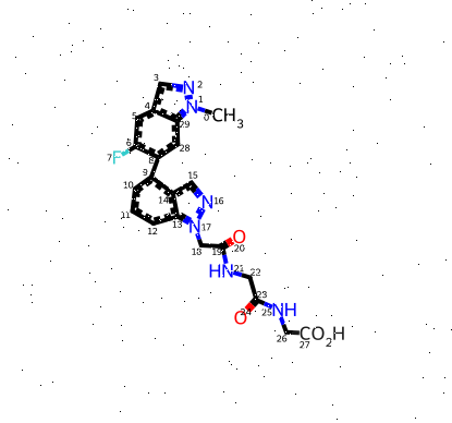 Cn1ncc2cc(F)c(-c3cccc4c3cnn4CC(=O)NCC(=O)NCC(=O)O)cc21